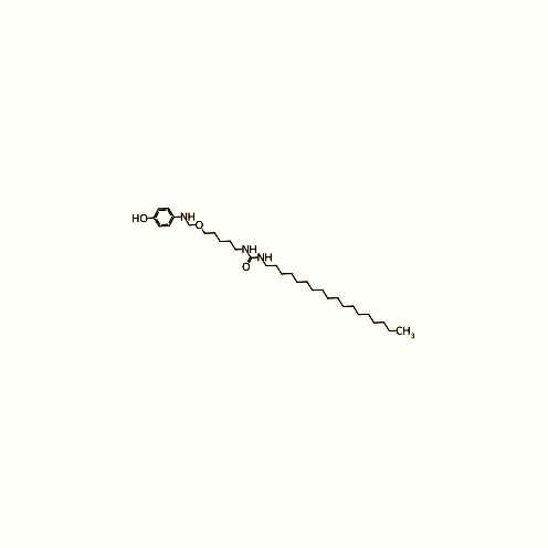 CCCCCCCCCCCCCCCCCCNC(=O)NCCCCCOCNc1ccc(O)cc1